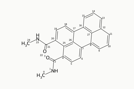 CNC(=O)c1ccc2c3cccc4cccc(c5ccc(C(=O)NC)c1c25)c43